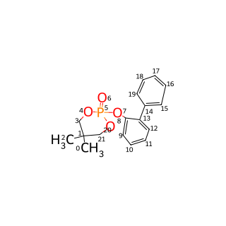 CC1(C)COP(=O)(Oc2ccccc2-c2ccccc2)OC1